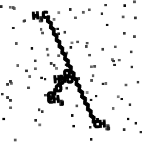 CCCCCCCCCCCCCCCCCCC(CCCCCCCCCCCCCCCCC)OC(=O)NCCOCCOC